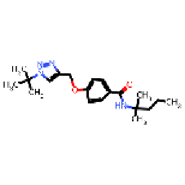 CCCC(C)(C)NC(=O)c1ccc(OCc2cn(C(C)(C)C)nn2)cc1